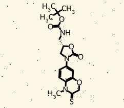 CN1C(=S)COc2cc(N3C[C@H](CNC(=O)OC(C)(C)C)OC3=O)ccc21